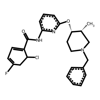 C[C@@H]1CN(Cc2ccccc2)CC[C@@H]1Oc1cccc(NC(=O)C2=CC=C(F)CC2Cl)n1